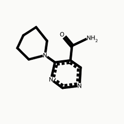 NC(=O)c1cn[c]nc1N1CCCCC1